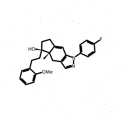 COc1ccccc1CC[C@]1(O)CCC2=Cc3c(cnn3-c3ccc(F)cc3)C[C@@]21C